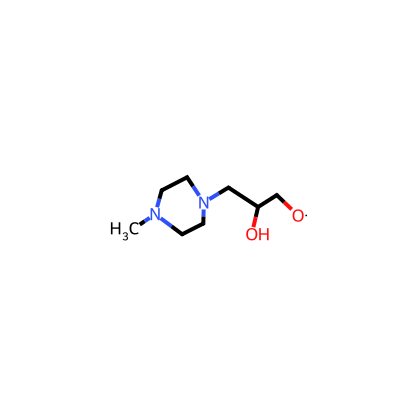 CN1CCN(CC(O)C[O])CC1